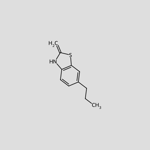 C=C1Nc2ccc(CCC)cc2S1